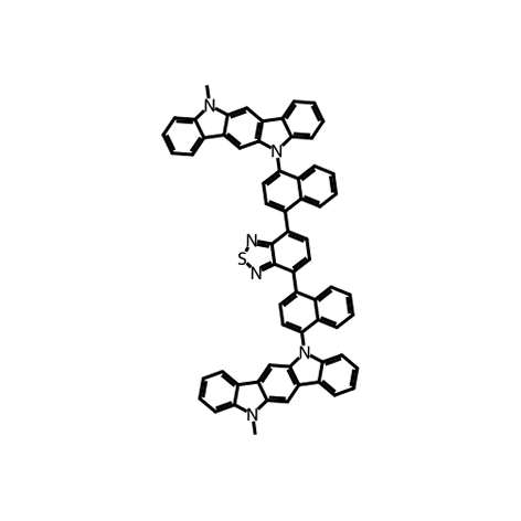 Cn1c2ccccc2c2cc3c(cc21)c1ccccc1n3-c1ccc(-c2ccc(-c3ccc(-n4c5ccccc5c5cc6c(cc54)c4ccccc4n6C)c4ccccc34)c3nsnc23)c2ccccc12